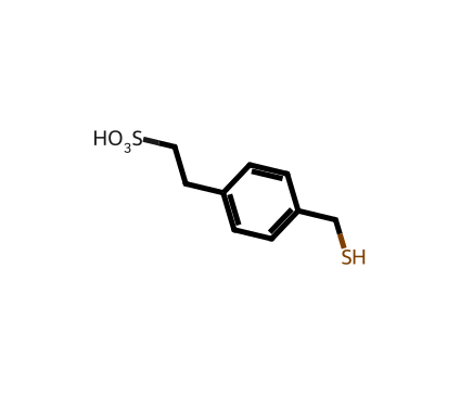 O=S(=O)(O)CCc1ccc(CS)cc1